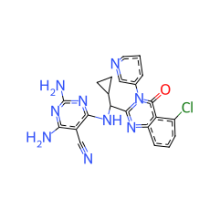 N#Cc1c(N)nc(N)nc1NC(c1nc2cccc(Cl)c2c(=O)n1-c1cccnc1)C1CC1